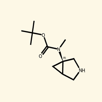 CN(C(=O)OC(C)(C)C)[C@@]12CNCC1C2